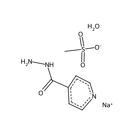 CS(=O)(=O)[O-].NNC(=O)c1ccncc1.O.[Na+]